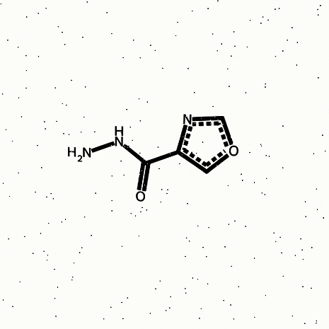 NNC(=O)c1cocn1